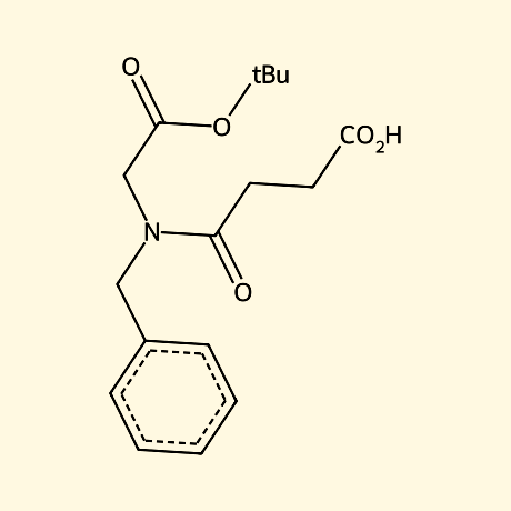 CC(C)(C)OC(=O)CN(Cc1ccccc1)C(=O)CCC(=O)O